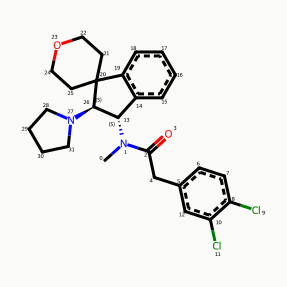 CN(C(=O)Cc1ccc(Cl)c(Cl)c1)[C@H]1c2ccccc2C2(CCOCC2)[C@@H]1N1CCCC1